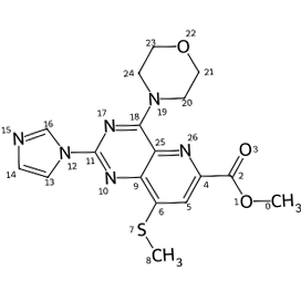 COC(=O)c1cc(SC)c2nc(-n3ccnc3)nc(N3CCOCC3)c2n1